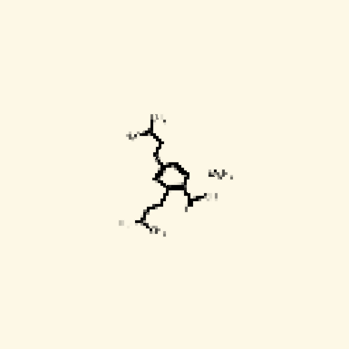 CC(C)CCc1ccc(C(=O)O)c(CCC(C)C)c1.[MgH2]